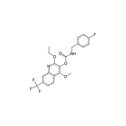 CCOc1nc2cc(C(F)(F)F)ccc2c(OC)c1OC(=O)NCc1ccc(F)cc1